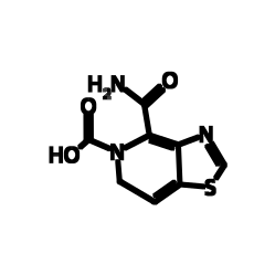 NC(=O)C1=c2ncsc2=CCN1C(=O)O